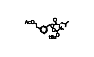 C=C(C)C[C@@H](C(=O)OCc1cccc(CCOC(C)=O)c1)N(C)C(=O)OC(C)(C)C